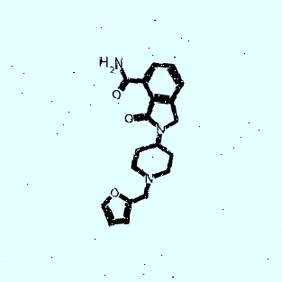 NC(=O)c1cccc2c1C(=O)N(C1CCN(Cc3ccco3)CC1)C2